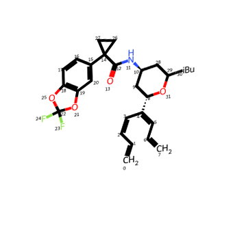 C=C/C=C\C(=C/C=C)[C@@H]1C[C@@H](NC(=O)C2(c3ccc4c(c3)OC(F)(F)O4)CC2)CC(C(C)CC)O1